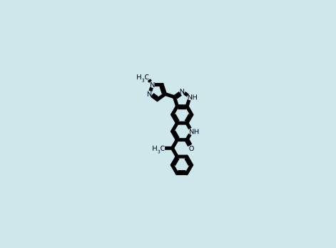 CC(c1ccccc1)c1cc2cc3c(-c4cnn(C)c4)n[nH]c3cc2[nH]c1=O